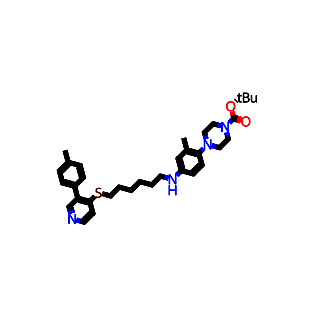 Cc1ccc(-c2cnccc2SCCCCCCNc2ccc(N3CCN(C(=O)OC(C)(C)C)CC3)c(C)c2)cc1